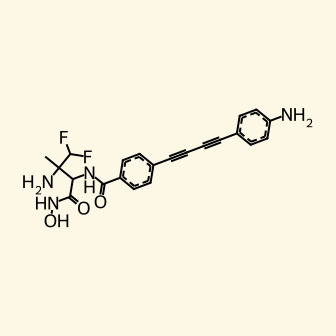 CC(N)(C(F)F)C(NC(=O)c1ccc(C#CC#Cc2ccc(N)cc2)cc1)C(=O)NO